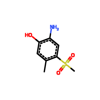 Cc1cc(O)c(N)cc1S(C)(=O)=O